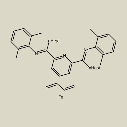 C=CC=C.CCCCCCCC(=Nc1c(C)cccc1C)c1cccc(C(CCCCCCC)=Nc2c(C)cccc2C)n1.[Fe]